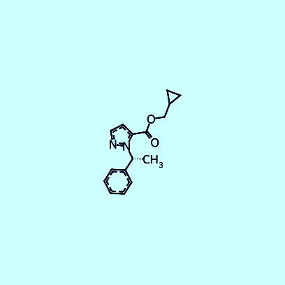 C[C@H](c1ccccc1)n1nccc1C(=O)OCC1CC1